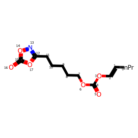 CCCC=COC(=O)OCCCCCc1noc(=O)o1